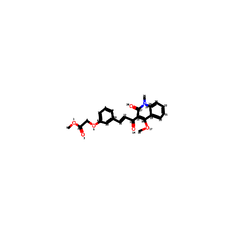 COC(=O)COc1cccc(/C=C/C(=O)c2c(OC)c3ccccc3n(C)c2=O)c1